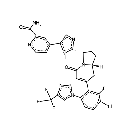 NC(=O)c1cc(-c2cnc([C@@H]3CC[C@@H]4CC(c5c(-n6cc(C(F)(F)F)nn6)ccc(Cl)c5F)=CC(=O)N43)[nH]2)ccn1